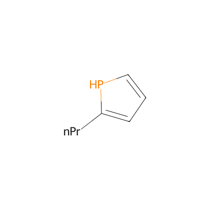 CCCc1ccc[pH]1